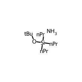 CCC[Si](CCC)(CCC)OC(C)(C)C.N